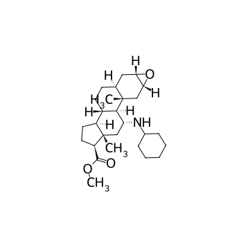 COC(=O)[C@H]1CC[C@H]2[C@@H]3CC[C@H]4C[C@@H]5O[C@@H]5C[C@]4(C)[C@H]3[C@H](NC3CCCCC3)C[C@]12C